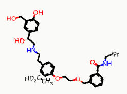 CC(=O)O.CC(C)CNC(=O)c1cccc(COCCOc2ccc(CCNC[C@H](O)c3ccc(O)c(CO)c3)cc2)c1